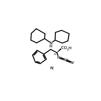 C1CCC(NC2CCCCC2)CC1.[N-]=[N+]=N[C@@H](Cc1ccccc1)C(=O)O.[N]